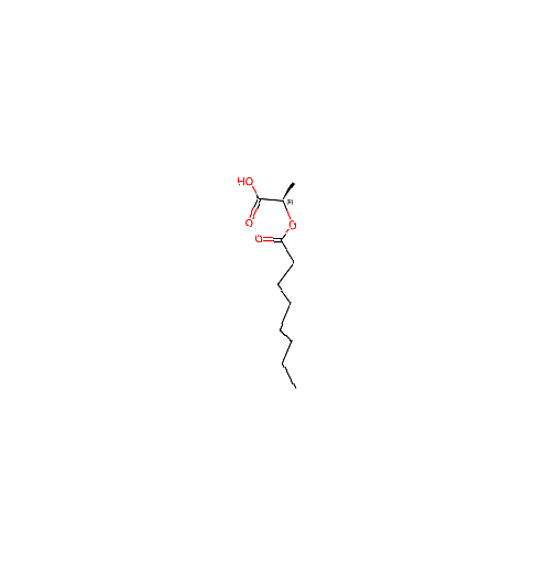 CCCCCCCC(=O)O[C@H](C)C(=O)O